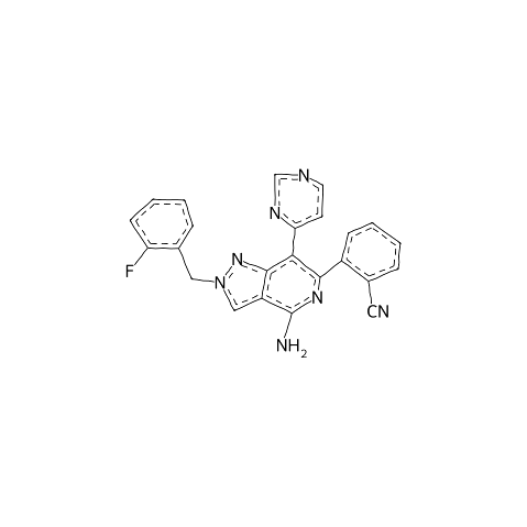 N#Cc1ccccc1-c1nc(N)c2cn(Cc3ccccc3F)nc2c1-c1ccncn1